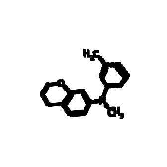 Cc1cccc(N(C)c2ccc3c(c2)OCCC3)c1